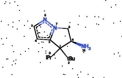 CC(C)C1(C(C)(C)C)c2ccnn2C[C@H]1N